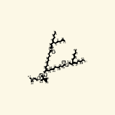 CCCCCC(CCCCC)CCOC(=O)CCCCCCCC(CCCCCCCC(=O)OCCC(CCCCC)CCCCC)COC(=O)C1(COCCN(C)C)CC1